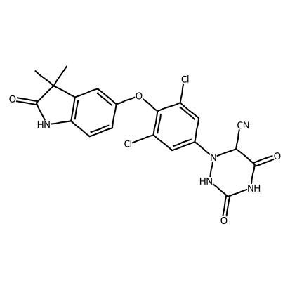 CC1(C)C(=O)Nc2ccc(Oc3c(Cl)cc(N4NC(=O)NC(=O)C4C#N)cc3Cl)cc21